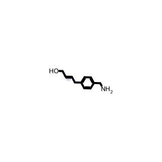 NCc1ccc(C/C=C/CO)cc1